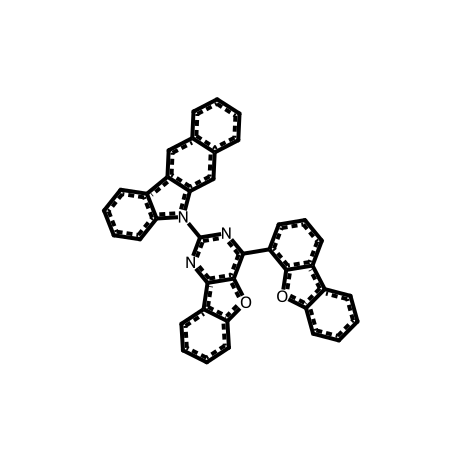 c1ccc2cc3c(cc2c1)c1ccccc1n3-c1nc(-c2cccc3c2oc2ccccc23)c2oc3ccccc3c2n1